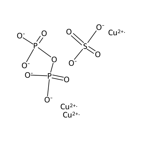 O=P([O-])([O-])OP(=O)([O-])[O-].O=S(=O)([O-])[O-].[Cu+2].[Cu+2].[Cu+2]